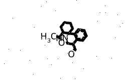 CC(=O)C1CCCCC12NCC(C=O)c1ccccc12